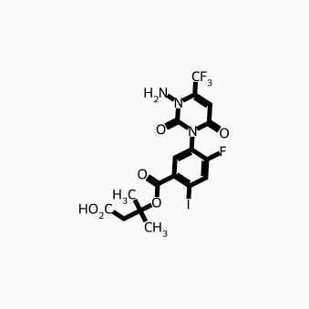 CC(C)(CC(=O)O)OC(=O)c1cc(-n2c(=O)cc(C(F)(F)F)n(N)c2=O)c(F)cc1I